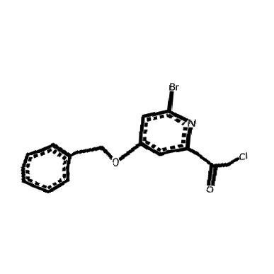 O=C(Cl)c1cc(OCc2ccccc2)cc(Br)n1